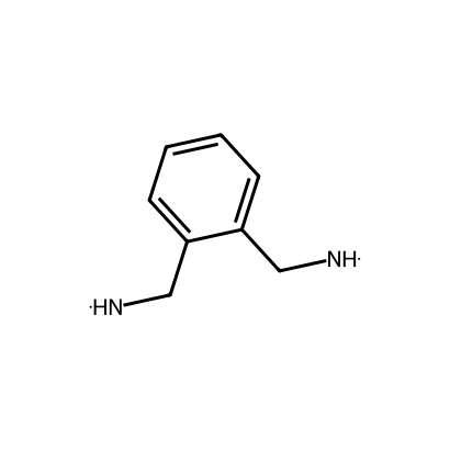 [NH]Cc1ccccc1C[NH]